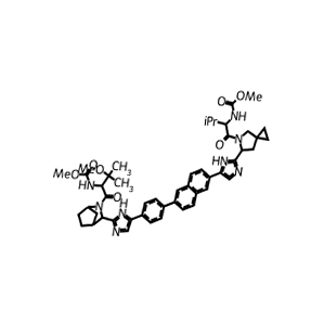 COC(=O)NC(C(=O)N1CC2(CC2)CC1c1ncc(-c2ccc3cc(-c4ccc(-c5cnc(C6C7CCC(C7)N6C(=O)C(NC(=O)OC)C(C)(C)OC)[nH]5)cc4)ccc3c2)[nH]1)C(C)C